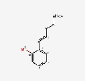 CCCCCCCCC=Cc1cc[c]cc1Br